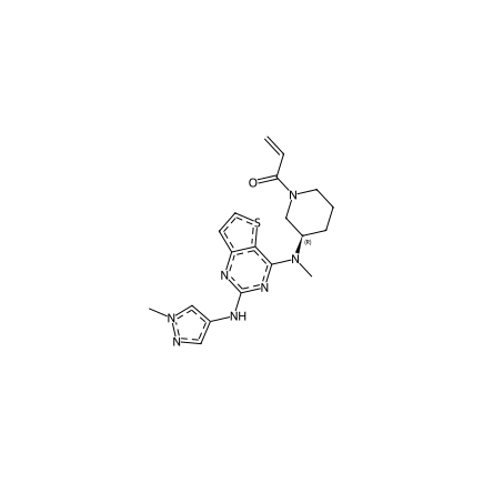 C=CC(=O)N1CCC[C@@H](N(C)c2nc(Nc3cnn(C)c3)nc3ccsc23)C1